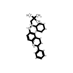 CC(C)(C)CN(Oc1ccc2c(c1)CCC(c1ccccc1)O2)C1CCCCC1